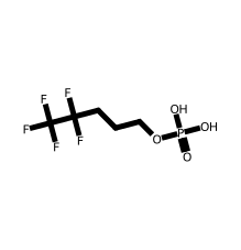 O=P(O)(O)OCCCC(F)(F)C(F)(F)F